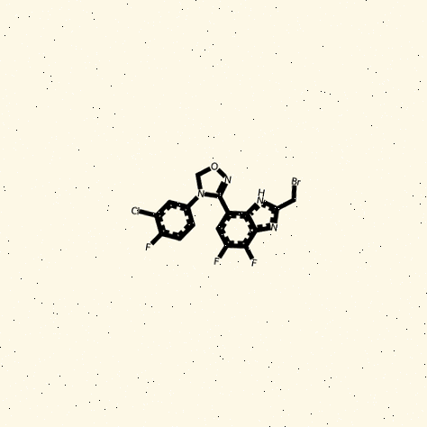 Fc1ccc(N2CON=C2c2cc(F)c(F)c3nc(CBr)[nH]c23)cc1Cl